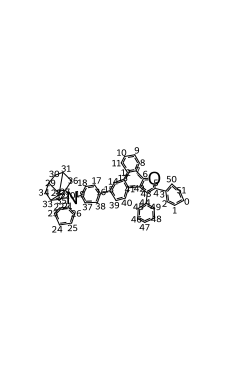 c1ccc(-c2oc3c4ccccc4c4cc(-c5ccc(N(c6ccccc6)C67CC8CC(CC(C8)C6)C7)cc5)ccc4c3c2-c2ccccc2)cc1